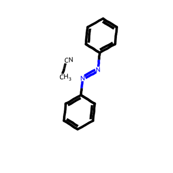 CC#N.c1ccc(N=Nc2ccccc2)cc1